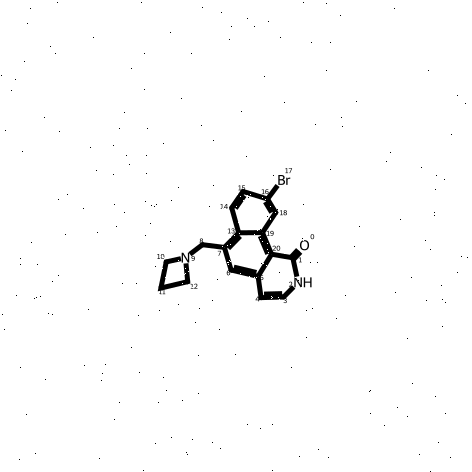 O=c1[nH]ccc2cc(CN3CCC3)c3ccc(Br)cc3c12